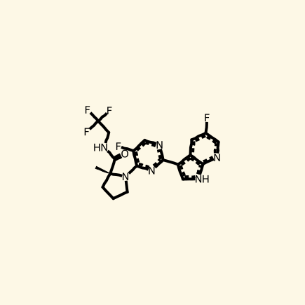 C[C@]1(C(=O)NCC(F)(F)F)CCCN1c1nc(-c2c[nH]c3ncc(F)cc23)ncc1F